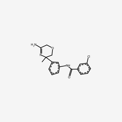 CC1(c2cccc(NC(=O)c3cccc(Cl)c3)c2)COCC(N)=N1